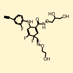 C#Cc1ccc(NC2C=C(F)C(F)(/C=N/OCCO)C=C2C(=O)NOCC(O)CO)c(F)c1